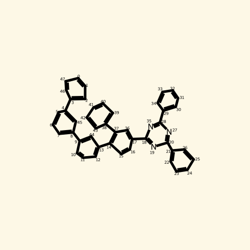 c1ccc(-c2cccc(-c3cccc(-c4ccc(-c5nc(-c6ccccc6)nc(-c6ccccc6)n5)cc4-c4ccccc4)c3)c2)cc1